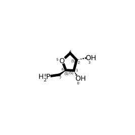 O[C@H]1[C@@H](O)[CH]O[C@@H]1CP